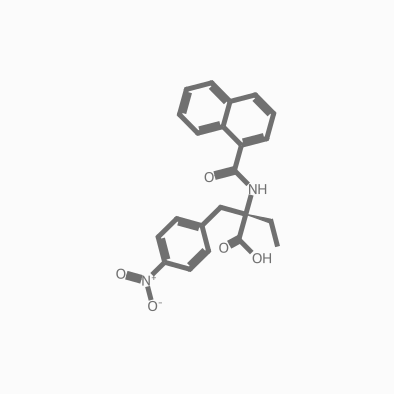 CC[C@@](Cc1ccc([N+](=O)[O-])cc1)(NC(=O)c1cccc2ccccc12)C(=O)O